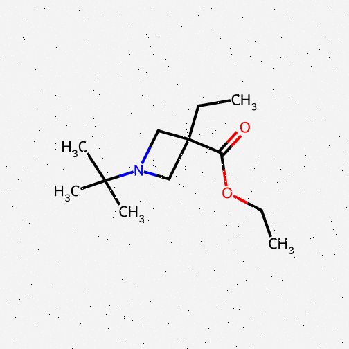 CCOC(=O)C1(CC)CN(C(C)(C)C)C1